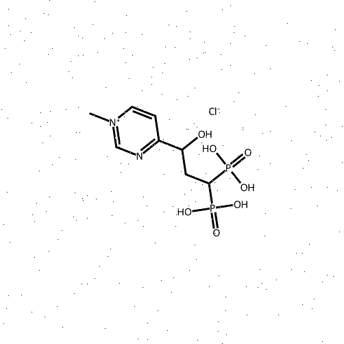 C[n+]1ccc(C(O)CC(P(=O)(O)O)P(=O)(O)O)nc1.[Cl-]